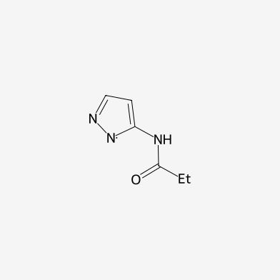 CCC(=O)NC1=CC=N[N]1